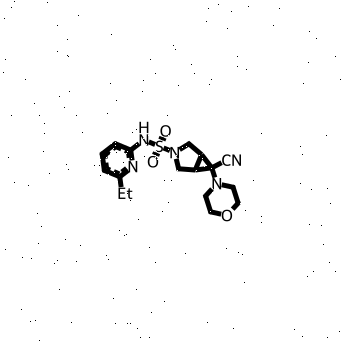 CCc1cccc(NS(=O)(=O)N2CC3C(C2)C3(C#N)N2CCOCC2)n1